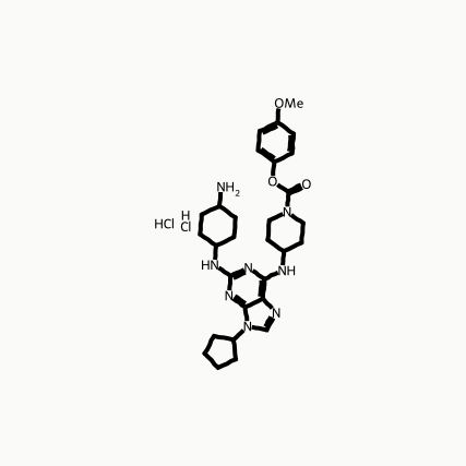 COc1ccc(OC(=O)N2CCC(Nc3nc(NC4CCC(N)CC4)nc4c3ncn4C3CCCC3)CC2)cc1.Cl.Cl